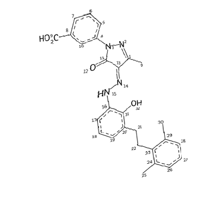 CC1=NN(c2cccc(C(=O)O)c2)C(=O)/C1=N\Nc1cccc(CCc2c(C)cccc2C)c1O